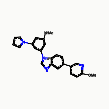 COc1ccc(-c2ccc3c(c2)ncn3-c2cc(NC(C)=O)cc(-n3cccc3)c2)cn1